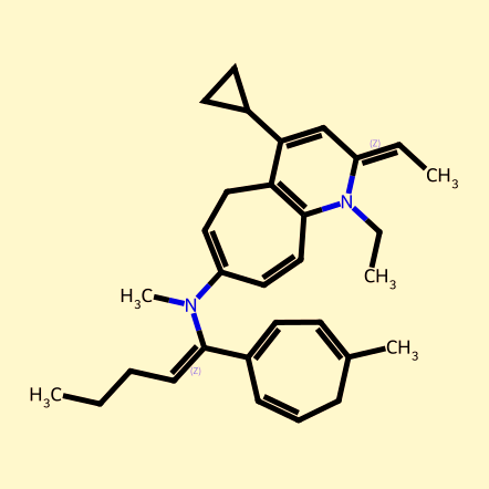 C/C=C1/C=C(C2CC2)C2=C(C=CC(N(C)/C(=C\CCC)C3=CC=C(C)CC=C3)=CC2)N1CC